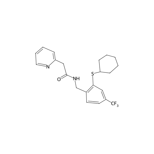 O=C(Cc1ccccn1)NCc1ccc(C(F)(F)F)cc1SC1CCCCC1